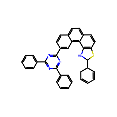 C1=CCC(C2Nc3c(ccc4ccc5ccc(-c6nc(-c7ccccc7)nc(-c7ccccc7)n6)cc5c34)S2)C=C1